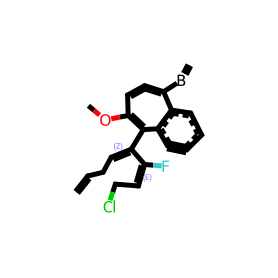 C=BC1=C=CC(OC)=C(C(=C/CC=C)/C(F)=C\CCl)c2c#cccc21